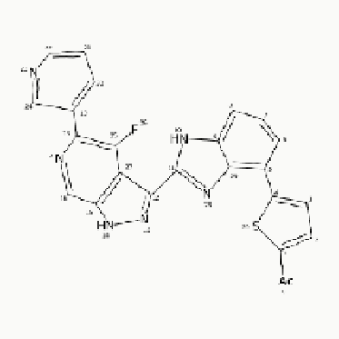 CC(=O)c1ccc(-c2cccc3[nH]c(-c4n[nH]c5cnc(-c6cccnc6)c(F)c45)nc23)s1